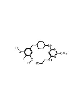 CCOc1cc(CN2CCC(Nc3nc(NCCO)nc(OC)n3)CC2)cc(OCC)c1F